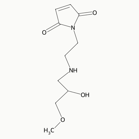 COCC(O)CNCCN1C(=O)C=CC1=O